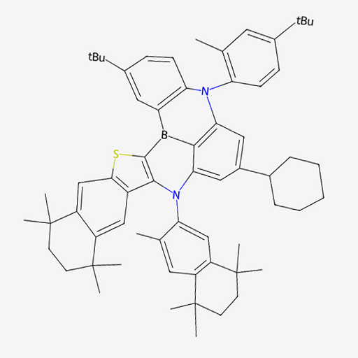 Cc1cc(C(C)(C)C)ccc1N1c2ccc(C(C)(C)C)cc2B2c3sc4cc5c(cc4c3N(c3cc4c(cc3C)C(C)(C)CCC4(C)C)c3cc(C4CCCCC4)cc1c32)C(C)(C)CCC5(C)C